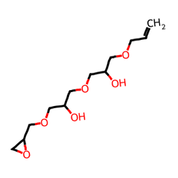 C=CCOCC(O)COCC(O)COCC1CO1